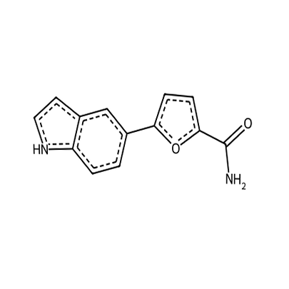 NC(=O)c1ccc(-c2ccc3[nH]ccc3c2)o1